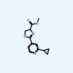 COC(=O)C1COC(c2ccnc(C3CC3)c2)=N1